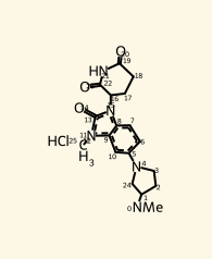 CNC1CCN(c2ccc3c(c2)n(C)c(=O)n3C2CCC(=O)NC2=O)C1.Cl